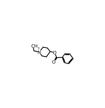 CCN1CCC(OC(=O)c2ccccc2)CC1